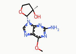 COc1nc(N)nc2c1ncn2[C@@H]1OCC[C@@]1(C)O